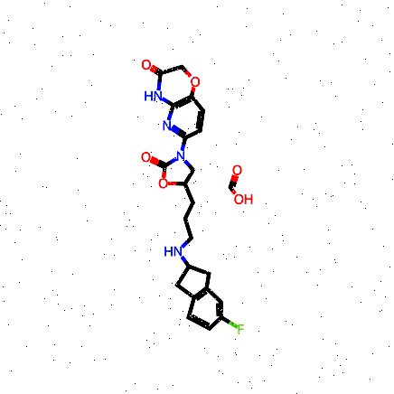 O=C1COc2ccc(N3CC(CCCNC4Cc5ccc(F)cc5C4)OC3=O)nc2N1.O=CO